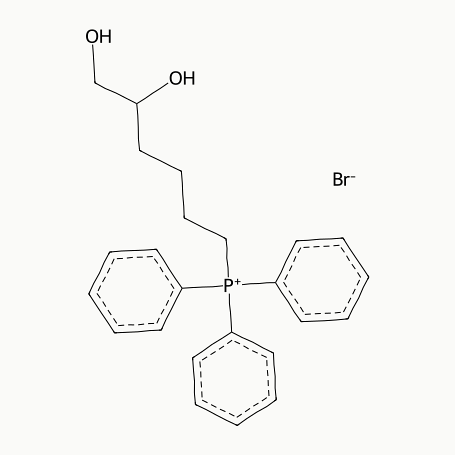 OCC(O)CCCC[P+](c1ccccc1)(c1ccccc1)c1ccccc1.[Br-]